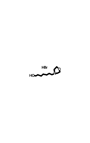 Br.OCCCCCCCN1CCOCC1